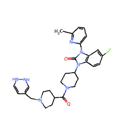 Cc1cccc(-n2c(=O)n(C3CCN(C(=O)C4CCN(CC5=CNNC=C5)CC4)CC3)c3ccc(F)cc32)n1